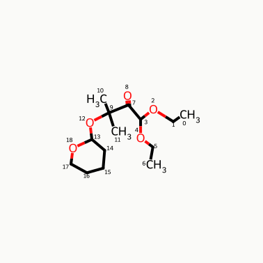 CCOC(OCC)C(=O)C(C)(C)OC1CCCCO1